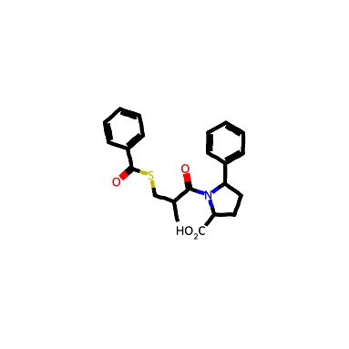 CC(CSC(=O)c1ccccc1)C(=O)N1C(C(=O)O)CCC1c1ccccc1